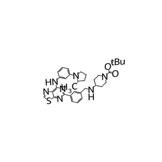 CC1CCCN1c1cccc(Nc2nc(-c3cccc(CNC4CCN(C(=O)OC(C)(C)C)CC4)c3)nc3scnc23)c1